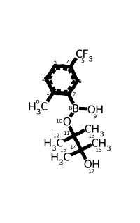 Cc1ccc(C(F)(F)F)cc1B(O)OC(C)(C)C(C)(C)O